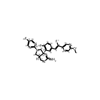 COc1cnc(/C(F)=C/c2ccc(F)c([C@]34CN(c5ncc(F)cn5)C[C@H]3CSC(N)=N4)c2)cn1